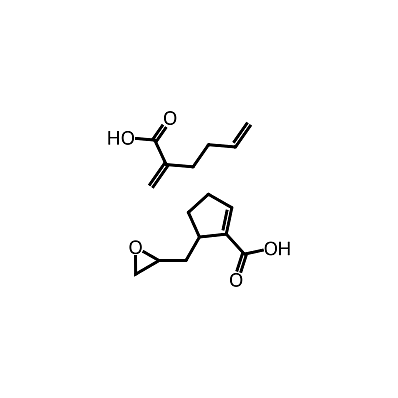 C=CCCC(=C)C(=O)O.O=C(O)C1=CCCC1CC1CO1